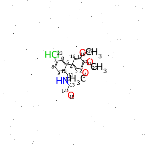 COc1cc(-c2ccccc2CNCC=O)cc(OC)c1OC.Cl